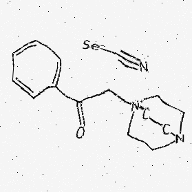 N#C[Se-].O=C(C[N+]12CCN(CC1)CC2)c1ccccc1